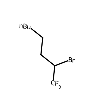 CCCCCCC(Br)C(F)(F)F